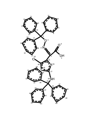 O=C(O)C(=NOC(c1ccccc1)(c1ccccc1)c1ccccc1)c1nc(NC(c2ccccc2)(c2ccccc2)c2ccccc2)sc1Cl